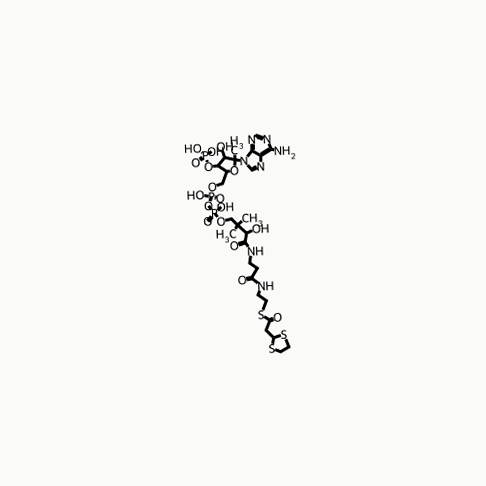 CC(C)(COP(=O)(O)OP(=O)(O)OCC1OC(C)(n2cnc3c(N)ncnc32)C(O)C1OP(=O)(O)O)C(O)C(=O)NCCC(=O)NCCSC(=O)CC1SCCS1